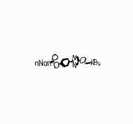 CCCCCCCCCC(=O)Oc1ccc(-c2ncc(OCC(C)CC)cn2)cc1